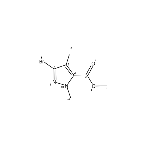 COC(=O)c1c(I)c(Br)nn1C